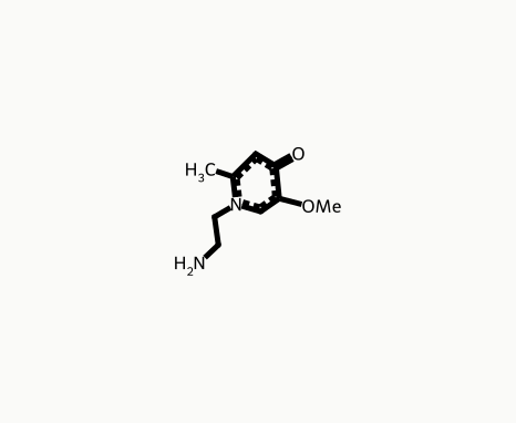 COc1cn(CCN)c(C)cc1=O